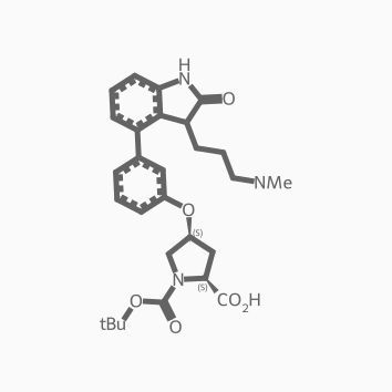 CNCCCC1C(=O)Nc2cccc(-c3cccc(O[C@H]4C[C@@H](C(=O)O)N(C(=O)OC(C)(C)C)C4)c3)c21